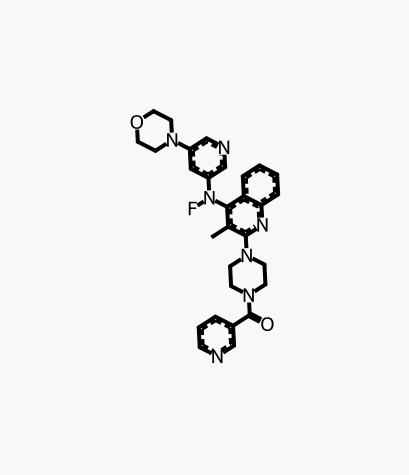 Cc1c(N2CCN(C(=O)c3cccnc3)CC2)nc2ccccc2c1N(F)c1cncc(N2CCOCC2)c1